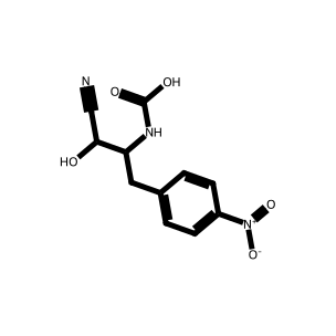 N#CC(O)C(Cc1ccc([N+](=O)[O-])cc1)NC(=O)O